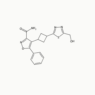 NC(=O)c1noc(-c2ccccc2)c1C1CC(c2nnc(CO)s2)C1